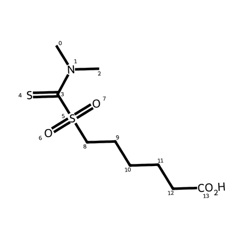 CN(C)C(=S)S(=O)(=O)CCCCCC(=O)O